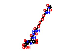 O=C(CCN1C(=O)C=CC1=O)NCCOCCOCCOCCOCCC(=O)NCC(=O)NCC(=O)NCc1c2c(nc3cc4c(cc13)OCO4)-c1cc3c(c(=O)n1C2)COC(=O)[C@H]3O